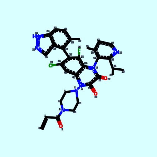 C=CC(=O)N1CCN(n2c(=O)c(=O)n(-c3c(C)ccnc3C(C)C)c3c(F)c(-c4c(C)ccc5[nH]ncc45)c(Cl)cc32)CC1